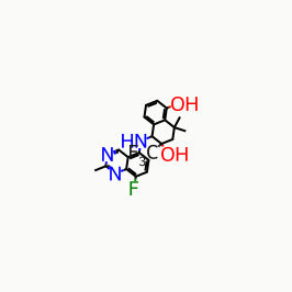 Cc1ncc2c(NC3c4cccc(O)c4C(C)(C)CC3(O)C(F)(F)F)ccc(F)c2n1